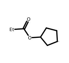 CCC(=O)OC1C[CH]CC1